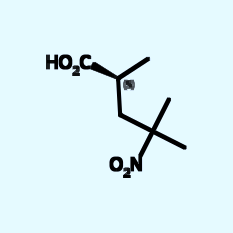 C[C@@H](CC(C)(C)[N+](=O)[O-])C(=O)O